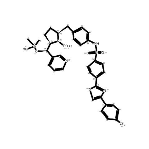 CC(C)(C)[Si](C)(C)O[C@H](c1cccnc1)[C@H]1CC[C@@H](Cc2ccc(NS(=O)(=O)c3ccc(-c4nc(-c5ccc(C(F)(F)F)cc5)cs4)cc3)cc2)N1C(=O)O